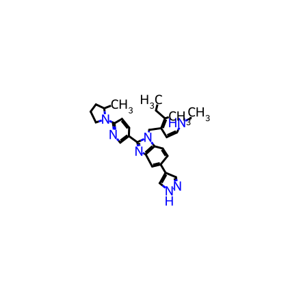 CCN/C=C\C(Cn1c(-c2ccc(N3CCCC3C)nc2)nc2cc(-c3cn[nH]c3)ccc21)=C(/C)CC